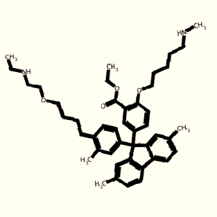 CCNCCOCCCCc1ccc(C2(c3ccc(OCCCCCNC)c(C(=O)OCC)c3)c3cc(C)ccc3-c3ccc(C)cc32)cc1C